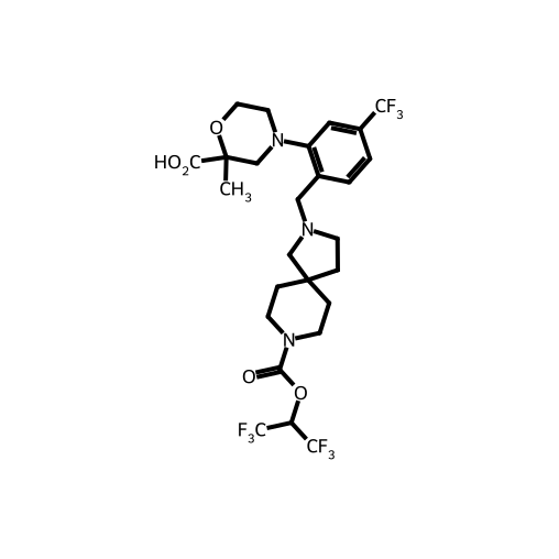 CC1(C(=O)O)CN(c2cc(C(F)(F)F)ccc2CN2CCC3(CCN(C(=O)OC(C(F)(F)F)C(F)(F)F)CC3)C2)CCO1